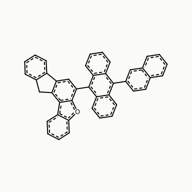 c1ccc2c(c1)Cc1c-2cc(-c2c3ccccc3c(-c3ccc4ccccc4c3)c3ccccc23)c2oc3ccccc3c12